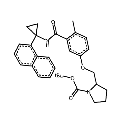 Cc1ccc(OCC2CCCN2C(=O)OC(C)(C)C)cc1C(=O)NC1(c2cccc3ccccc23)CC1